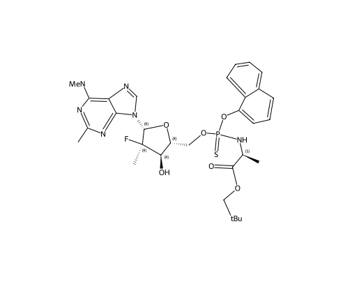 CNc1nc(C)nc2c1ncn2[C@@H]1O[C@H](COP(=S)(N[C@@H](C)C(=O)OCC(C)(C)C)Oc2cccc3ccccc23)[C@@H](O)[C@@]1(C)F